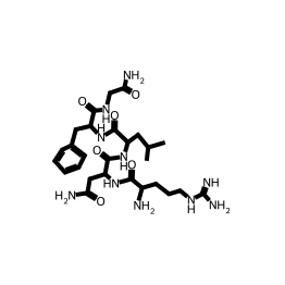 CC(C)CC(NC(=O)C(CC(N)=O)NC(=O)C(N)CCCNC(=N)N)C(=O)NC(Cc1ccccc1)C(=O)NCC(N)=O